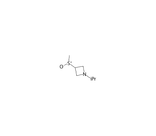 CC(C)N1CC([S+](C)[O-])C1